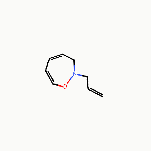 C=CCN1CC=CC=CO1